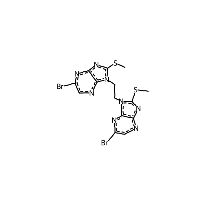 CSc1nc2nc(Br)cnc2n1CCn1c(SC)nc2ncc(Br)nc21